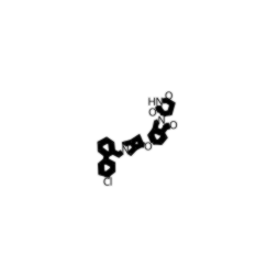 O=C1CCC(N2Cc3cc(OC4CC5CN(Cc6ccccc6-c6ccc(Cl)cc6)CC54)ccc3C2=O)C(=O)N1